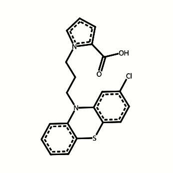 O=C(O)c1cccn1CCCN1c2ccccc2Sc2ccc(Cl)cc21